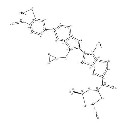 Cc1c(-c2cc3ccc(-c4ccc5c(c4)CNC5=O)cc3n2CC2CC2)oc2cc(C(=O)N3C[C@H](N)C[C@@H](F)C3)ccc12